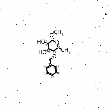 CO[C@@H]1O[C@@H](C)[C@H](OCc2ccccc2)[C@@H](O)[C@H]1O